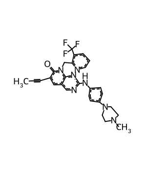 CC#Cc1cc2cnc(Nc3ccc(N4CCN(C)CC4)cc3)nc2n(Cc2ncccc2C(F)(F)F)c1=O